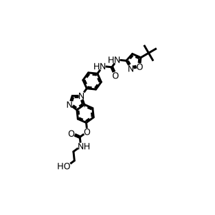 CC(C)(C)c1cc(NC(=O)Nc2ccc(-n3cnc4cc(OC(=O)NCCO)ccc43)cc2)no1